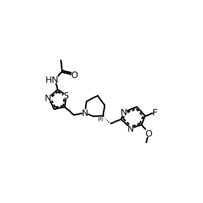 COc1nc(C[C@H]2CCCN(Cc3cnc(NC(C)=O)s3)C2)ncc1F